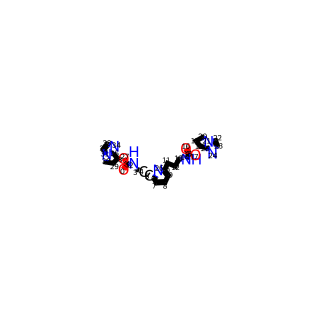 O=C(NCCCc1cccc(CCCNC(=O)O[C@@H]2CCn3ccnc32)n1)O[C@@H]1CCn2ccnc21